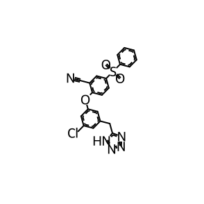 N#Cc1cc(S(=O)(=O)c2ccccc2)ccc1Oc1cc(Cl)cc(Cc2nnn[nH]2)c1